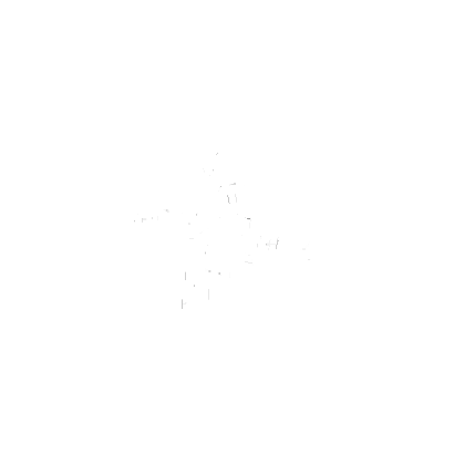 COC(=O)[C@@H]1CC2=CC(=O)CC[C@]2(C)[C@@H]2[C@@H]1[C@@H]1CC[C@@](O)(CCC(=O)O)[C@@]1(C)C[C@H]2OC(=O)C(F)(F)F